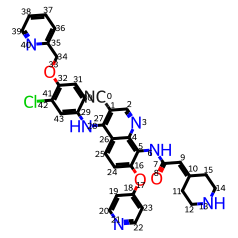 N#Cc1cnc2c(NC(=O)C=C3CCNCC3)c(Oc3ccncc3)ccc2c1Nc1ccc(OCc2ccccn2)c(Cl)c1